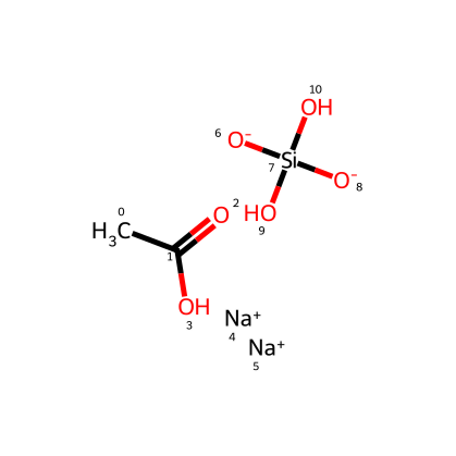 CC(=O)O.[Na+].[Na+].[O-][Si]([O-])(O)O